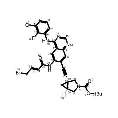 CC(C)(C)OC(=O)N1C[C@H]2C[C@@]2(C#Cc2cc3ncnc(Nc4cccc(Cl)c4F)c3cc2NC(=O)/C=C/CBr)C1